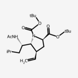 C=C[C@@H]1C[C@H](C(=O)OC(C)(C)C)N(C(=O)OC(C)(C)C)[C@H]1[C@H](CC(C)C)NC(C)=O